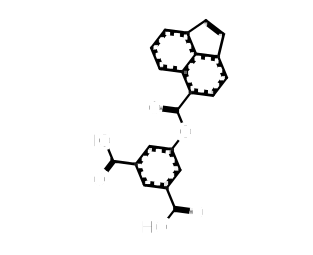 O=C(O)c1cc(OC(=O)c2ccc3c4c(cccc24)C=C3)cc(C(=O)O)c1